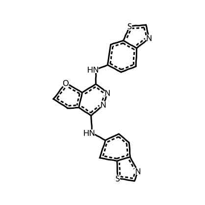 c1cc2c(Nc3ccc4ncsc4c3)nnc(Nc3ccc4ncsc4c3)c2o1